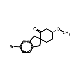 CO[C@@H]1CCC2(Cc3ccc(Br)cc3C2)C(=O)C1